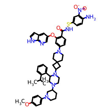 COc1ccc(N2CCCC(N3CCN(C4CC5(CCN(c6ccc(C(=O)NSc7ccc(N)c([N+](=O)[O-])c7)c(Oc7cnc8[nH]ccc8c7)c6)CC5)C4)C(c4ccccc4C(C)C)C3)C2)cc1